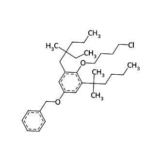 CCCCC(C)(C)c1cc(OCc2ccccc2)cc(CC(C)(CC)CCC)c1OCCCCCl